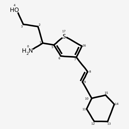 NC(CCO)c1cc(/C=C/C2CCCCC2)cs1